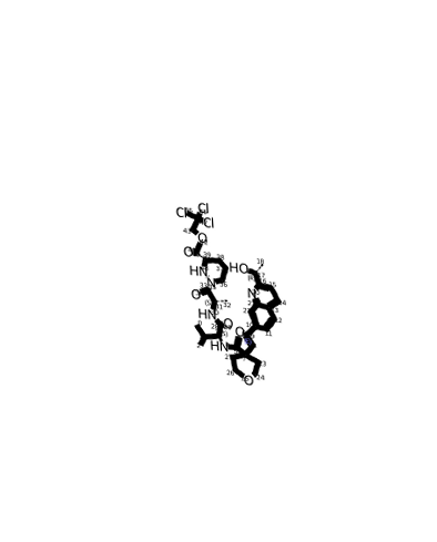 CC(C)[C@H](NC(=O)C1(/C=C/c2ccc3ccc([C@@H](C)O)nc3c2)CCOCC1)C(=O)N[C@@H](C)C(=O)N1CCC[C@@H](C(=O)OCC(Cl)(Cl)Cl)N1